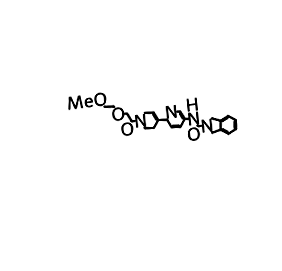 COCCOCC(=O)N1CC=C(c2ccc(NC(=O)N3Cc4ccccc4C3)cn2)CC1